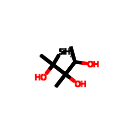 CC(O)C(C)(O)C(C)(O)[SiH3]